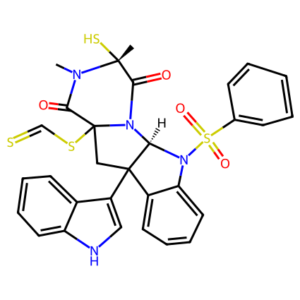 CN1C(=O)C2(SC=S)CC3(c4c[nH]c5ccccc45)c4ccccc4N(S(=O)(=O)c4ccccc4)[C@@H]3N2C(=O)[C@@]1(C)S